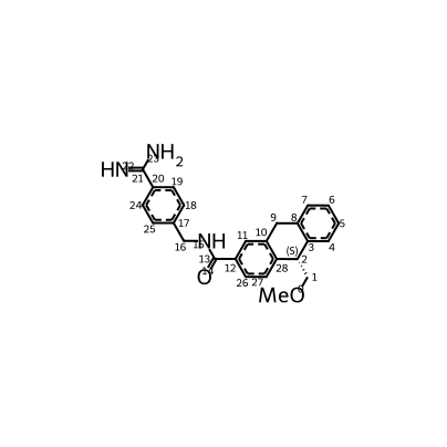 COC[C@H]1c2ccccc2Cc2cc(C(=O)NCc3ccc(C(=N)N)cc3)ccc21